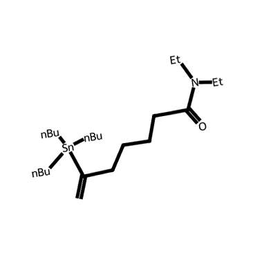 C=[C](CCCCC(=O)N(CC)CC)[Sn]([CH2]CCC)([CH2]CCC)[CH2]CCC